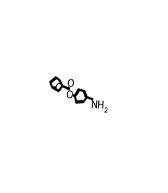 NCc1ccc(OC(=O)C2CC3C=CC2O3)cc1